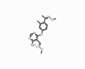 CON=Cc1c(N)ncnc1Oc1ccc(/C(C)=N\OC)c(C)c1